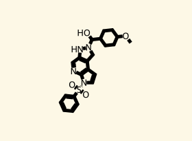 COC1CCC(C(O)N2Cc3c(cnc4c3ccn4S(=O)(=O)c3ccccc3)N2)CC1